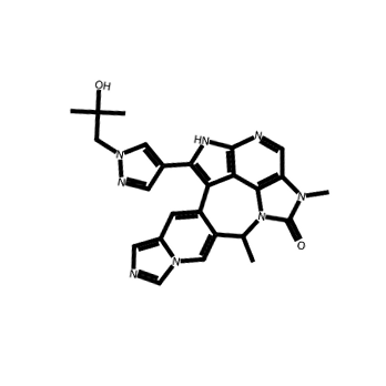 CC1c2cn3cncc3cc2-c2c(-c3cnn(CC(C)(C)O)c3)[nH]c3ncc4c(c23)n1c(=O)n4C